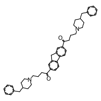 O=C(CCCN1CCC(Cc2ccccc2)CC1)c1ccc2c(c1)Cc1cc(C(=O)CCCN3CCC(Cc4ccccc4)CC3)ccc1-2